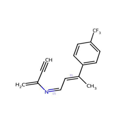 C#CC(=C)/N=C\C=C(/C)c1ccc(C(F)(F)F)cc1